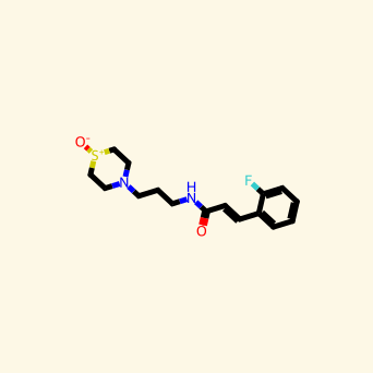 O=C(C=Cc1ccccc1F)NCCCN1CC[S+]([O-])CC1